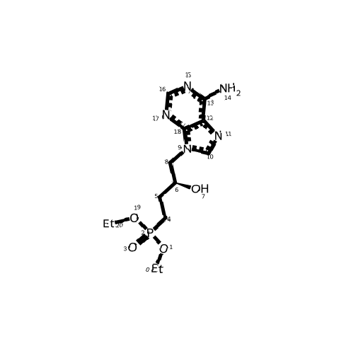 CCOP(=O)(CC[C@H](O)Cn1cnc2c(N)ncnc21)OCC